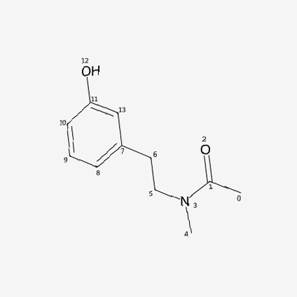 CC(=O)N(C)CCc1cccc(O)c1